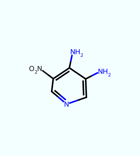 Nc1cncc([N+](=O)[O-])c1N